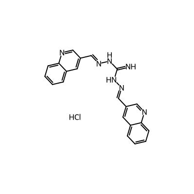 Cl.N=C(NN=Cc1cnc2ccccc2c1)NN=Cc1cnc2ccccc2c1